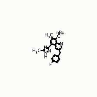 CCCCOc1c(C)cc(-c2n[nH]c(C)n2)c2cc(Cc3ccc(F)cc3)cnc12